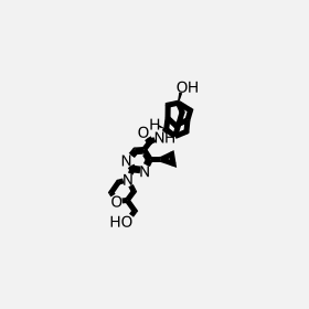 O=C(N[C@H]1C2CC3CC1C[C@@](O)(C3)C2)c1cnc(N2CCOC(CO)C2)nc1C1CC1